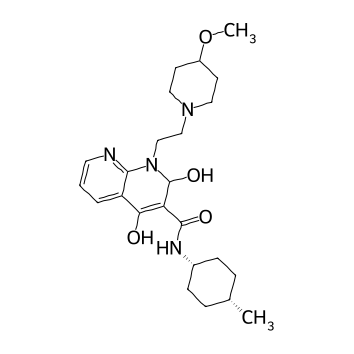 COC1CCN(CCN2c3ncccc3C(O)=C(C(=O)N[C@H]3CC[C@@H](C)CC3)C2O)CC1